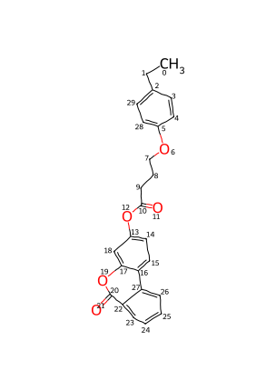 CCc1ccc(OCCCC(=O)Oc2ccc3c(c2)oc(=O)c2ccccc23)cc1